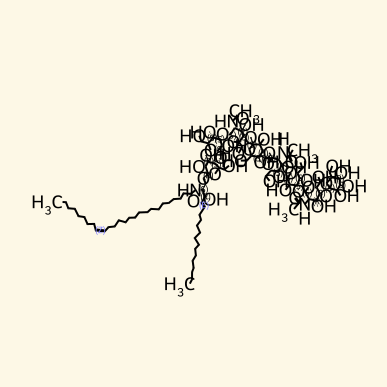 CCCCCCCC/C=C\CCCCCCCCCCCCCCCC(=O)N[C@@H](CO[C@@H]1OC(CO)[C@@H](O[C@@H]2OC(CO)[C@H](O)[C@H](O[C@@H]3OC(CO)[C@@H](O[C@@H]4OC(CO)[C@H](O)[C@H](O[C@@H]5OC(CO)[C@@H](O[C@@H]6OC(CO)[C@H](O)[C@H](O[C@@H]7OC(CO)[C@@H](O[C@@H]8OC(CO)[C@H](O)[C@H](O)C8O)[C@H](O)C7NC(C)=O)C6O)[C@H](O)C5NC(C)=O)C4O)[C@H](O)C3NC(C)=O)C2O)[C@H](O)C1O)[C@H](O)/C=C/CCCCCCCCCCCCC